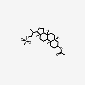 CC(=O)O[C@H]1CC[C@]2(C)C3CC[C@@]4(C)C(CC[C@@H]4[C@H](C)COS(C)(=O)=O)[C@@H]3CC[C@@H]2C1